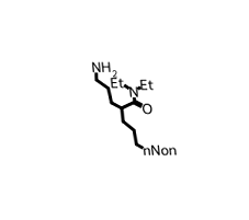 CCCCCCCCCCCCC(CCCN)C(=O)N(CC)CC